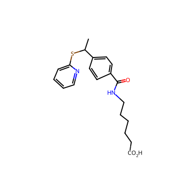 CC(Sc1ccccn1)c1ccc(C(=O)NCCCCCC(=O)O)cc1